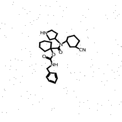 N#CC1CCCC(N(C(=O)C2(OC(=O)NCc3ccccc3)CCCCC2)C2CCNC2)C1